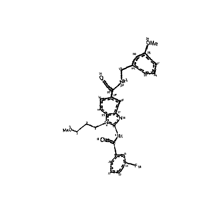 COCCCn1c(NC(=O)c2cccc(F)c2)nc2cc(C(=O)NCc3cccc(OC)c3)ccc21